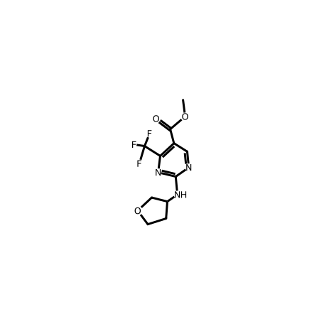 COC(=O)c1cnc(NC2CCOC2)nc1C(F)(F)F